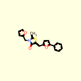 C=c1s/c(=C\c2ccc(-c3ccccc3)o2)c(=O)n1Cc1ccco1